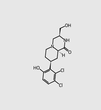 O=C1N[C@H](CO)CN2CC[C@H](c3c(O)ccc(Cl)c3Cl)C[C@H]12